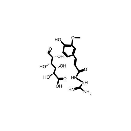 COc1cc(/C=C/C(=O)NNC(=N)N)ccc1O.O=C[C@H](O)[C@@H](O)[C@H](O)[C@H](O)C(=O)O